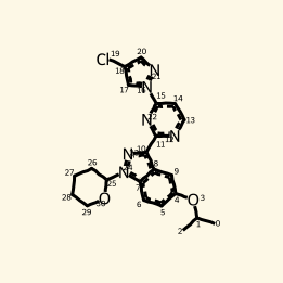 CC(C)Oc1ccc2c(c1)c(-c1nccc(-n3cc(Cl)cn3)n1)nn2C1CCCCO1